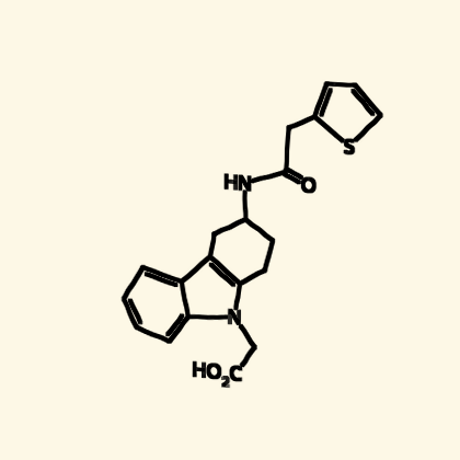 O=C(O)Cn1c2c(c3ccccc31)CC(NC(=O)Cc1cccs1)CC2